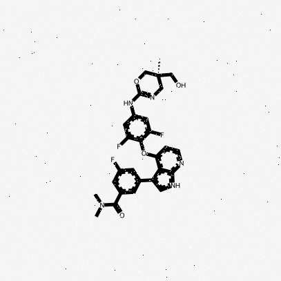 CN(C)C(=O)c1cc(F)cc(-c2c[nH]c3nccc(Oc4c(F)cc(NC5=NC[C@](C)(CO)CO5)cc4F)c23)c1